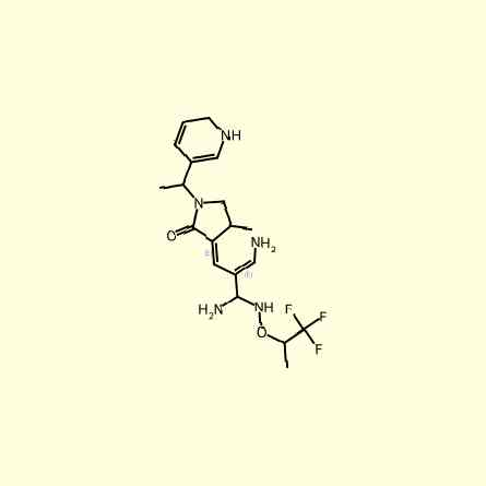 CC1CN(C(C)C2=CNCC=C2)C(=O)/C1=C/C(=C\N)C(N)NOC(C)C(F)(F)F